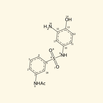 CC(=O)Nc1cccc(S(=O)(=O)Nc2ccc(O)c(N)c2)c1